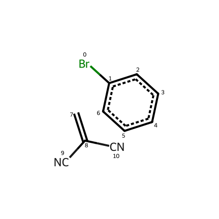 Brc1ccccc1.C=C(C#N)C#N